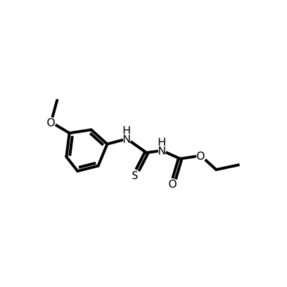 CCOC(=O)NC(=S)Nc1cccc(OC)c1